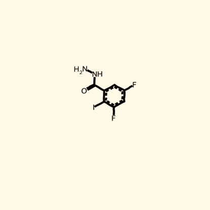 NNC(=O)c1cc(F)cc(F)c1I